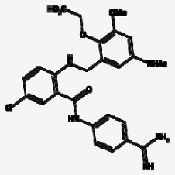 COc1cc(NC(C)=O)cc(CNc2ccc(Cl)cc2C(=O)Nc2ccc(C(=N)N)cc2)c1OCC(=O)O